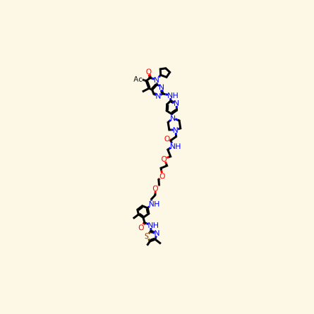 CC(=O)c1c(C)c2cnc(Nc3ccc(N4CCN(CC(=O)NCCOCCOCCOCCNc5ccc(C)c(C(=O)Nc6nc(C)c(C)s6)c5)CC4)cn3)nc2n(C2CCCC2)c1=O